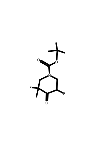 CC(C)(C)OC(=O)N1CC(F)C(=O)C(C)(F)C1